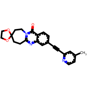 Cc1ccnc(C#Cc2ccc3c(=O)n4c(nc3c2)CCC2(CC4)OCCO2)c1